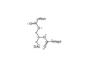 CCCCCCCCCC(=O)OCC(COC(C)=O)OC(=O)CCCCCCC